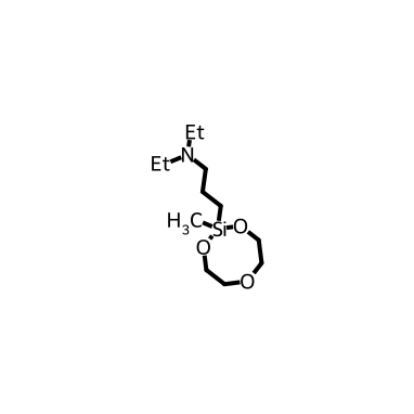 CCN(CC)CCC[Si]1(C)OCCOCCO1